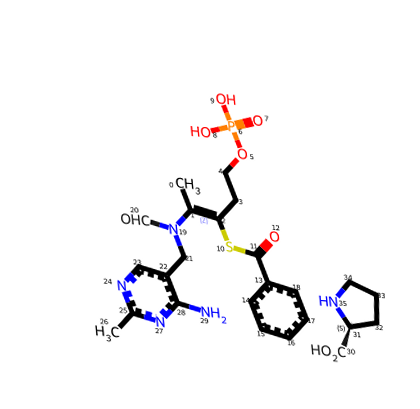 C/C(=C(\CCOP(=O)(O)O)SC(=O)c1ccccc1)N(C=O)Cc1cnc(C)nc1N.O=C(O)[C@@H]1CCCN1